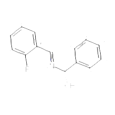 C[C@H](/N=C/c1ccccc1F)c1ccccc1